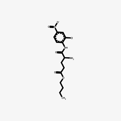 CCCCOC(=O)CCC(N)C(=O)Nc1ccc([N+](=O)[O-])cc1Cl